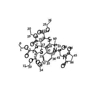 CCOC(=O)C1=C(C(=O)OCC)SC2(S1)C(C(=O)OCC)=C(C(=O)OCC)SC1=C2c2cc(OC)ccc2N(C(=O)CN2C(=O)CCC2=O)C1(C)C